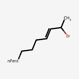 CCCCCCCCC=CC(C)Br